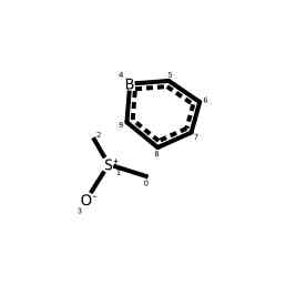 C[S+](C)[O-].b1ccccc1